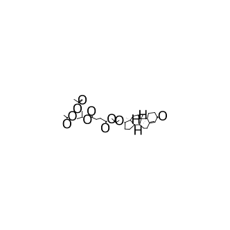 CC(=O)OCC(COC(C)=O)OC(=O)CCC(=O)OCO[C@H]1CC[C@H]2[C@@H]3CCC4=CC(=O)CC[C@]4(C)[C@H]3CC[C@]12C